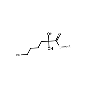 CCCCOC(=O)C(O)(O)CCCCC#N